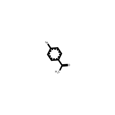 [2H]c1ccc(C(C)=O)cc1